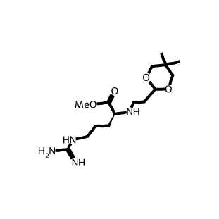 COC(=O)[C@H](CCCNC(=N)N)NCCC1OCC(C)(C)CO1